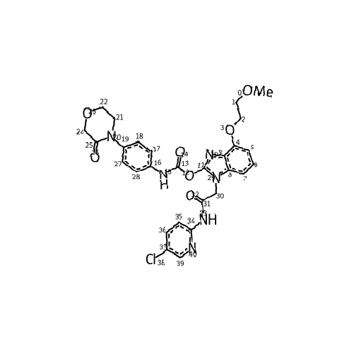 COCCOc1cccc2c1nc(OC(=O)Nc1ccc(N3CCOCC3=O)cc1)n2CC(=O)Nc1ccc(Cl)cn1